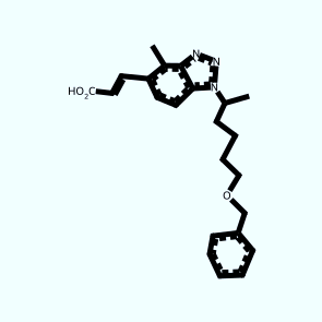 Cc1c(/C=C/C(=O)O)ccc2c1nnn2C(C)CCCCOCc1ccccc1